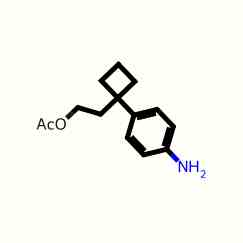 CC(=O)OCCC1(c2ccc(N)cc2)CCC1